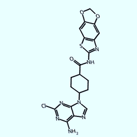 Nc1nc(Cl)nc2c1ncn2C1CCC(C(=O)Nc2nc3cc4c(cc3s2)OCO4)CC1